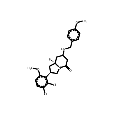 COc1ccc(CNC2CC(=O)N3C[C@@H](c4c(OC)ccc(Cl)c4Cl)C[C@H]3C2)cc1